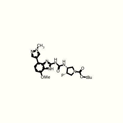 COc1ccc(-c2cnn(C)c2)c2nc(NC(=O)N[C@@H]3CN(C(=O)OC(C)(C)C)C[C@@H]3F)[nH]c12